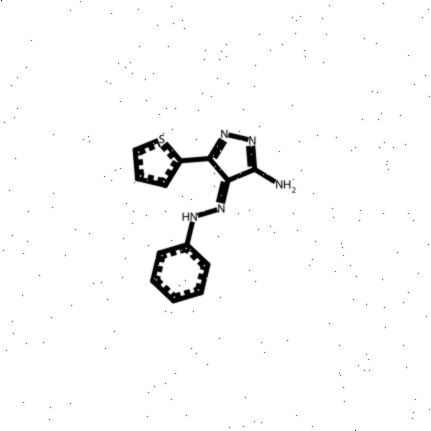 NC1=NN=C(c2cccs2)/C1=N\Nc1ccccc1